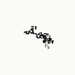 C[C@@H](COC(=O)C(C)(C)O)[C@H]1CCC2/C(=C/C=C3C[C@@H](O)C[C@H](O)C3)CCC[C@@]21C